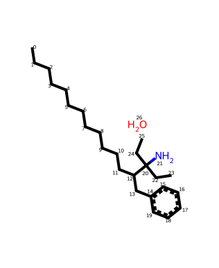 CCCCCCCCCCCCC(Cc1ccccc1)C(N)(CC)CC.O